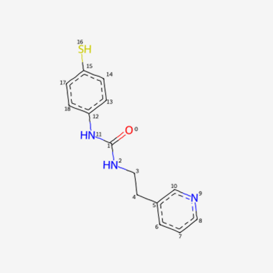 O=C(NCCc1cccnc1)Nc1ccc(S)cc1